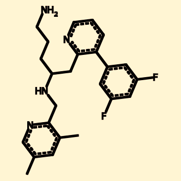 Cc1cnc(CNC(CCCN)Cc2ncccc2-c2cc(F)cc(F)c2)c(C)c1